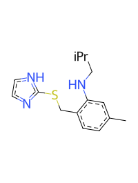 Cc1ccc(CSc2ncc[nH]2)c(NCC(C)C)c1